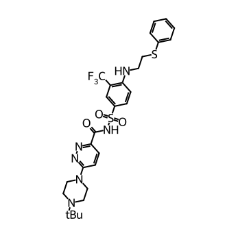 CC(C)(C)N1CCN(c2ccc(C(=O)NS(=O)(=O)c3ccc(NCCSc4ccccc4)c(C(F)(F)F)c3)nn2)CC1